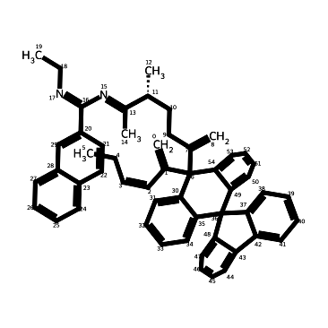 C=C(/C=C\CC)C1(C(=C)CC[C@@H](C)/C(C)=N/C(=N\CC)c2ccc3ccccc3c2)c2ccccc2C2(c3ccccc3-c3ccccc32)c2ccccc21